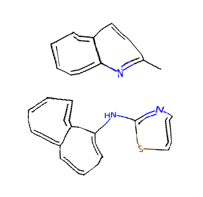 Cc1ccc2ccccc2n1.c1ccc2c(Nc3nccs3)cccc2c1